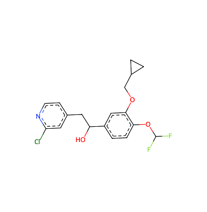 OC(Cc1ccnc(Cl)c1)c1ccc(OC(F)F)c(OCC2CC2)c1